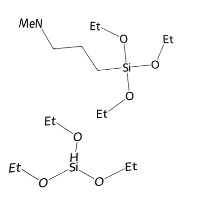 CCO[SiH](OCC)OCC.CCO[Si](CCCNC)(OCC)OCC